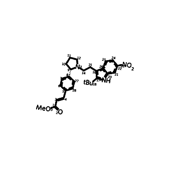 COC(=O)/C=C/c1ccc([C@@H]2CCCN2CCc2c(C(C)(C)C)[nH]c3cc([N+](=O)[O-])ccc23)cc1